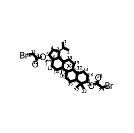 CC(C)[C@@H]1CC[C@]2(COC(=O)CBr)CC[C@]3(C)C(CCC4[C@@]5(C)CC[C@H](OC(=O)CBr)C(C)(C)C5CC[C@]43C)C12